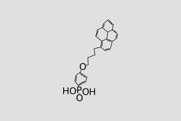 CC12C=CC=C3C=Cc4c(CCCCOc5ccc(P(=O)(O)O)cc5)ccc(c4C31)C=C2